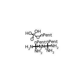 CCCCCC(N)(N)N.CCCCCC(N)(N)N.CCCCCOP(=O)(O)O